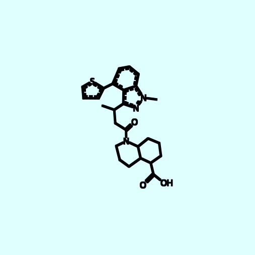 CC(CC(=O)N1CCCC2C(C(=O)O)CCCC21)c1nn(C)c2cccc(-c3cccs3)c12